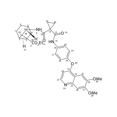 CCOC(=O)[C@H]1C2CCC(CC2)[C@@H]1NC(=O)C1(C(=O)Nc2ccc(Oc3ccnc4cc(OC)c(OC)cc34)cc2)CC1